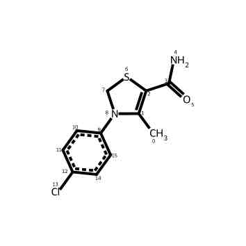 CC1=C(C(N)=O)SCN1c1ccc(Cl)cc1